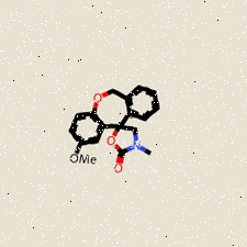 COc1ccc2c(c1)C1(CN(C)C(=O)O1)c1ccccc1CO2